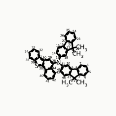 CC1(C)c2ccccc2-c2cc(N(c3ccc4c(c3)C(C)(C)c3ccccc3-4)c3cc4c5ccccc5sc4c4ccccc34)ccc21